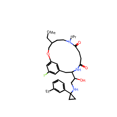 CCCN1CCC(COC)COc2cc(F)cc(c2)CC(C(O)CNC2(c3cccc(CC)c3)CC2)NC(=O)CCC1=O